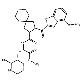 COC(=O)[C@H](C[C@@H]1CCCNC1O)NC(=O)C1CC2(CCCCC2)CN1C(=O)c1cc2c(OC)cccc2[nH]1